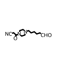 N#CCC(=O)N1CCN(CCCCCC=O)CC1